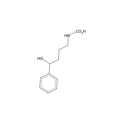 O=C(O)NCCCC(O)c1ccccc1